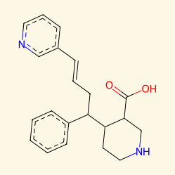 O=C(O)C1CNCCC1C(CC=Cc1cccnc1)c1ccccc1